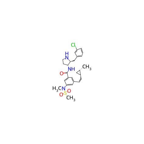 C[C@H]1C[C@@H]1/C=C\c1cc(C(=O)N[C@@H]2CCN[C@H]2Cc2cccc(Cl)c2)cc(N(C)S(C)(=O)=O)c1